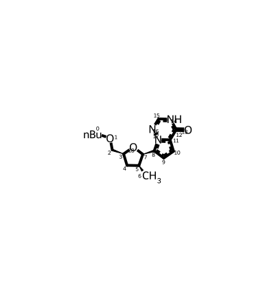 CCCCOC[C@@H]1C[C@H](C)[C@H](c2ccc3c(=O)[nH]cnn23)O1